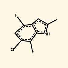 Cc1cc2c(F)cc(Cl)c(F)c2[nH]1